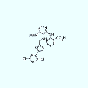 CNc1ccnc(Nc2ccccc2C(=O)O)c1NCc1ccc(-c2cc(Cl)ccc2Cl)o1